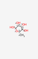 C[C@@H]1OC(O)[C@H](O)[C@H](O)[C@@H]1O